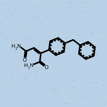 NC(=O)/C=C(\C(N)=O)c1ccc(Cc2ccccc2)cc1